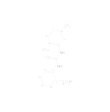 O=C(Nc1cc(C(F)(F)F)ccc1Cl)Nc1ccccc1C(=O)O